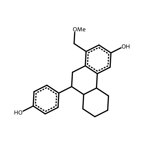 COCc1cc(O)cc2c1CC(c1ccc(O)cc1)C1CCCCC21